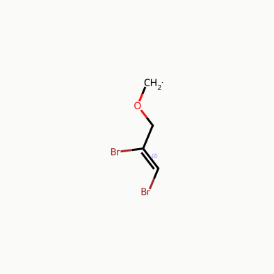 [CH2]OC/C(Br)=C/Br